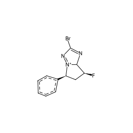 F[C@H]1C[C@@H](c2ccccc2)[N+]2=NC(Br)=NC12